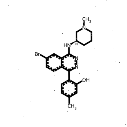 Cc1ccc(-c2nnc(N[C@@H]3CCCN(C)C3)c3cc(Br)ccc23)c(O)c1